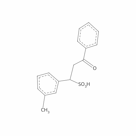 Cc1cccc(C(CC(=O)c2ccccc2)S(=O)(=O)O)c1